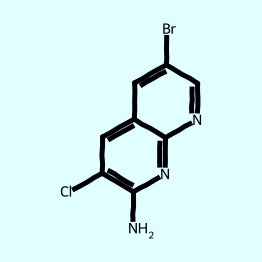 Nc1nc2ncc(Br)cc2cc1Cl